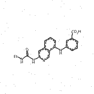 CCNC(=O)Nc1cc2cccc(Nc3cccc(C(=O)O)c3)c2cn1